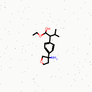 CCOC(O)C(c1ccc(C2(N)CCOC2)cc1)C(C)C